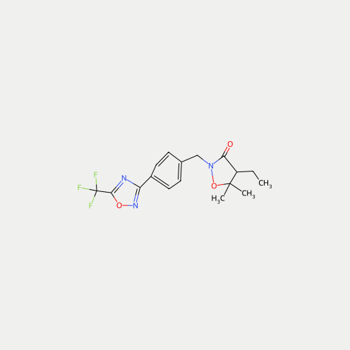 CCC1C(=O)N(Cc2ccc(-c3noc(C(F)(F)F)n3)cc2)OC1(C)C